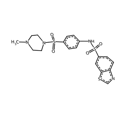 CN1CCN(S(=O)(=O)c2ccc(NS(=O)(=O)c3ccc4ncsc4c3)cc2)CC1